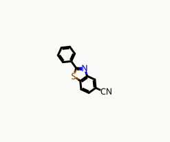 N#Cc1ccc2sc(-c3ccccc3)nc2c1